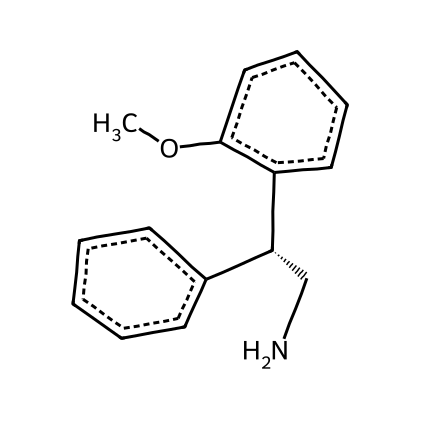 COc1ccccc1[C@H](CN)c1ccccc1